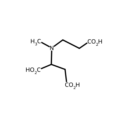 CN(CCC(=O)O)C(CC(=O)O)C(=O)O